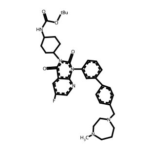 CN1CCCN(Cc2ccc(-c3cccc(-n4c(=O)n(C5CCC(NC(=O)OC(C)(C)C)CC5)c(=O)c5cc(F)cnc54)c3)cc2)CC1